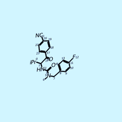 CC(C)C(NC(=O)N(C)Cc1ccc(F)cc1)C(=O)c1ccc(C#N)cc1